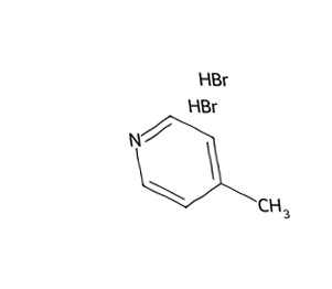 Br.Br.Cc1ccncc1